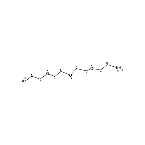 CC(=O)CCOCCOCCOCCN